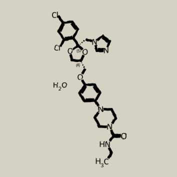 CCNC(=O)N1CCN(c2ccc(OC[C@@H]3CO[C@@](Cn4ccnc4)(c4ccc(Cl)cc4Cl)O3)cc2)CC1.O